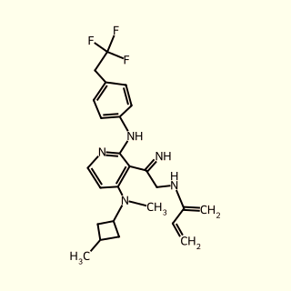 C=CC(=C)NCC(=N)c1c(N(C)C2CC(C)C2)ccnc1Nc1ccc(CC(F)(F)F)cc1